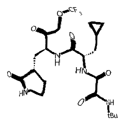 CC(C)(C)NC(=O)C(=O)N[C@@H](CC1CC1)C(=O)N[C@@H](C[C@@H]1CCNC1=O)C(=O)COC(F)(F)F